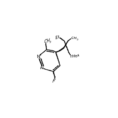 CCCCCCC(C)(CC)c1cc(F)nnc1C